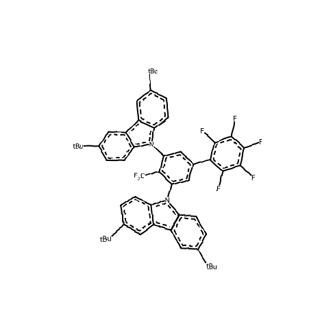 CC(C)(C)c1ccc2c(c1)c1cc(C(C)(C)C)ccc1n2-c1cc(-c2c(F)c(F)c(F)c(F)c2F)cc(-n2c3ccc(C(C)(C)C)cc3c3cc(C(C)(C)C)ccc32)c1C(F)(F)F